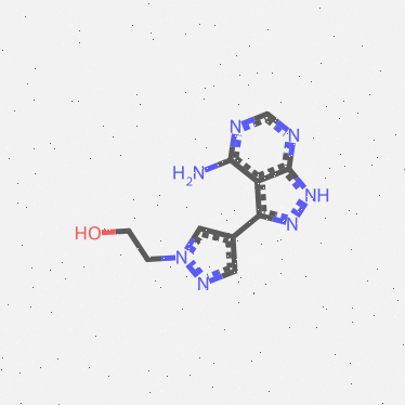 Nc1ncnc2[nH]nc(-c3cnn(CCO)c3)c12